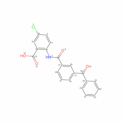 O=C(Nc1ccc(Cl)cc1C(=O)O)c1cccc(C(=O)c2ccccc2)c1